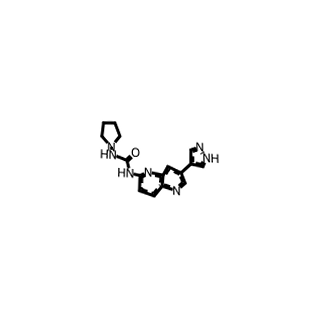 O=C(Nc1ccc2ncc(-c3cn[nH]c3)cc2n1)NN1CCCC1